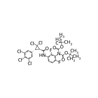 CC(C)(C)OC(=O)N(C(=O)OC(C)(C)C)c1c(F)ccc(NC(=O)[C@H]2[C@H](c3cc(Cl)c(Cl)c(Cl)c3)C2(Cl)Cl)c1F